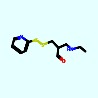 CCNCC(C=O)CSSc1ccccn1